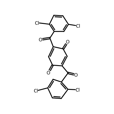 O=C1C=C(C(=O)c2cc(Cl)ccc2Cl)C(=O)C=C1C(=O)c1cc(Cl)ccc1Cl